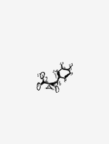 COC(=O)C1OC1c1ccc(C)c(C)c1